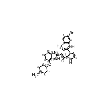 Cc1ccc(Br)cc1NC(=O)c1nc[nH]c1C(=O)Nc1nc2cccc(OC3CCN(C)CC3)c2[nH]1